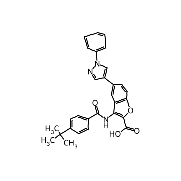 CC(C)(C)c1ccc(C(=O)Nc2c(C(=O)O)oc3ccc(-c4cnn(-c5ccccc5)c4)cc23)cc1